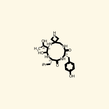 CC(C)C[C@@H]1NC(O)[C@H]([C@@H](C)O)NC2(CNC2)CNC(=O)[C@H](Cc2ccc(O)cc2)NC1=O